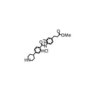 COC(=O)CCc1ccc(NC(=O)c2ccc(C3CCNCC3)cc2)c(C)c1.Cl